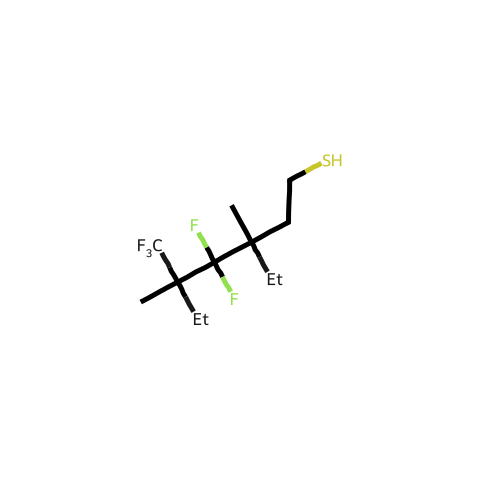 CCC(C)(CCS)C(F)(F)C(C)(CC)C(F)(F)F